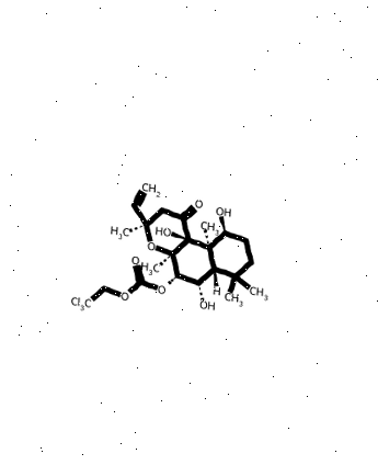 C=C[C@@]1(C)CC(=O)[C@]2(O)[C@@]3(C)[C@@H](O)CCC(C)(C)[C@@H]3[C@H](O)[C@H](OC(=O)OCC(Cl)(Cl)Cl)[C@@]2(C)O1